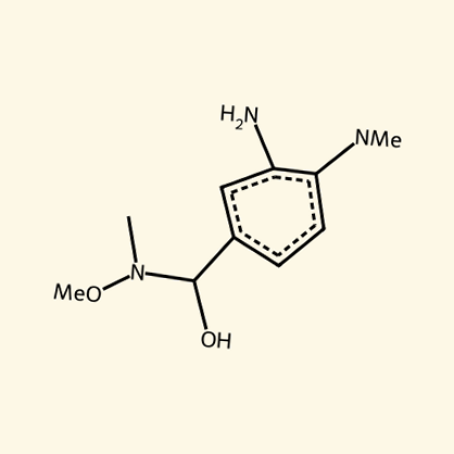 CNc1ccc(C(O)N(C)OC)cc1N